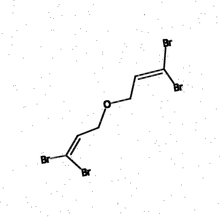 BrC(Br)=CCOCC=C(Br)Br